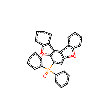 O=P(c1ccccc1)(c1ccccc1)c1cc2oc3ccccc3c2c2c1oc1ccccc12